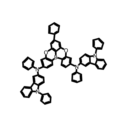 c1ccc(-c2cc3c4c(c2)Oc2cc(N(c5ccccc5)c5ccc6c(c5)c5ccccc5n6-c5ccccc5)ccc2B4c2ccc(N(c4ccccc4)c4ccc5c(c4)c4ccccc4n5-c4ccccc4)cc2O3)cc1